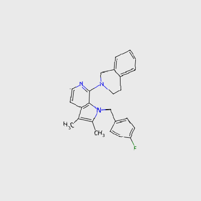 Cc1c(C)n(Cc2ccc(F)cc2)c2c(N3CCc4ccccc4C3)n[c]cc12